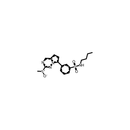 CCCCNS(=O)(=O)c1cccc(-c2ccc3cnc([S+](C)[O-])nn23)c1